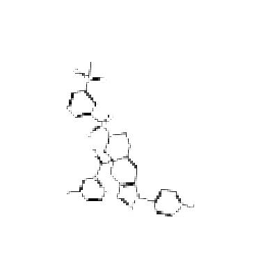 Cc1ccnc(C(=O)C23Cc4cnn(-c5ccc(F)cc5)c4C=C2CCN(S(=O)(=O)c2cccc(S(C)(=O)=O)c2)C3)c1